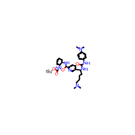 CN(C)CCCCC(NC(=O)Nc1ccc(N(C)C)cc1)c1ccc(C(=O)Nc2ccccc2NC(=O)OC(C)(C)C)nc1